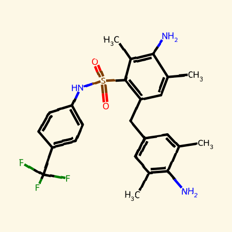 Cc1cc(Cc2cc(C)c(N)c(C)c2S(=O)(=O)Nc2ccc(C(F)(F)F)cc2)cc(C)c1N